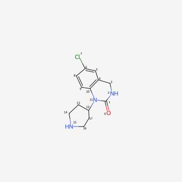 O=C1NCc2cc(Cl)ccc2N1C1CCNCC1